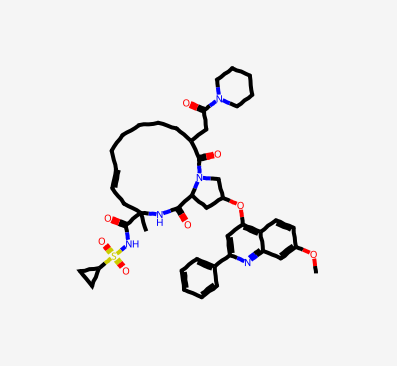 COc1ccc2c(OC3CC4C(=O)NC(C)(C(=O)NS(=O)(=O)C5CC5)C/C=C/CCCCCC(CC(=O)N5CCCCC5)C(=O)N4C3)cc(-c3ccccc3)nc2c1